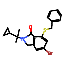 CC(C)(C1CC1)N1Cc2cc(Br)cc(SCc3ccccc3)c2C1=O